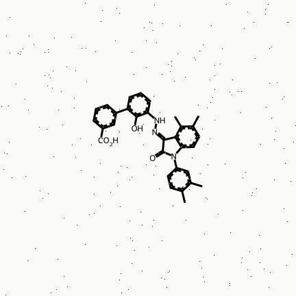 Cc1ccc(N2C(=O)C(=NNc3cccc(-c4cccc(C(=O)O)c4)c3O)c3c2ccc(C)c3C)cc1C